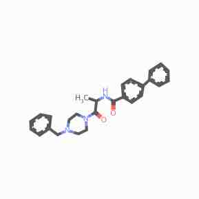 CC(NC(=O)c1ccc(-c2ccccc2)cc1)C(=O)N1CCN(Cc2ccccc2)CC1